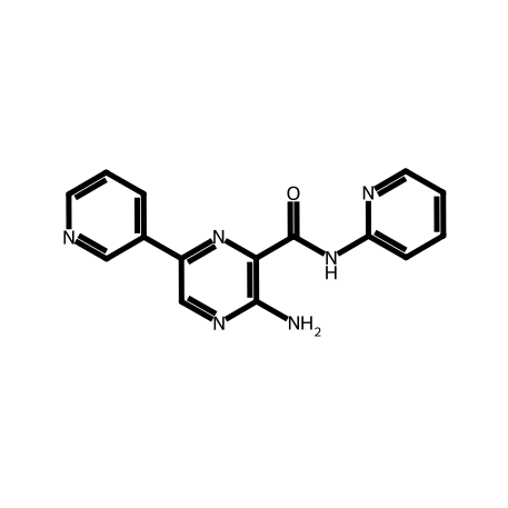 Nc1ncc(-c2cccnc2)nc1C(=O)Nc1ccccn1